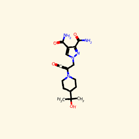 CC(C)(O)C1CCN(C(=C=O)Cn2cc(C(N)=O)c(C(N)=O)n2)CC1